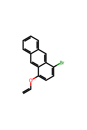 C=COc1ccc(Br)c2cc3ccccc3cc12